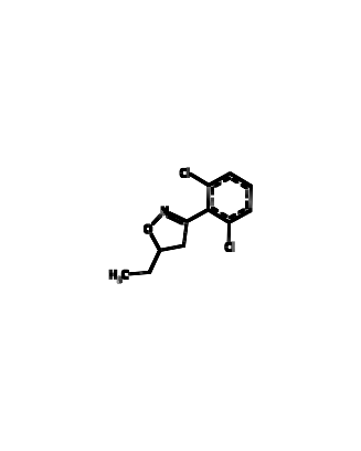 CCC1CC(c2c(Cl)cccc2Cl)=NO1